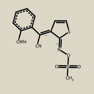 COc1ccccc1/C(C#N)=C1\C=CS\C1=N/OS(C)(=O)=O